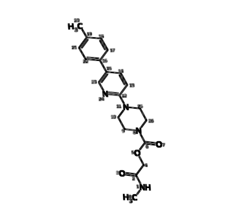 CNC(=O)COC(=O)N1CCN(c2ccc(-c3ccc(C)cc3)cn2)CC1